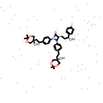 CC(=O)O[C@@H](CC[C@H]1C(=O)N(c2ccc(CCC3(OC(C)=O)COC(C)(C)OC3)cc2)[C@@H]1c1ccc(CCC2(OC(C)=O)COC(C)(C)OC2)cc1)c1ccc(F)cc1